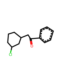 O=C(CC1CCCC(Cl)C1)c1ccccc1